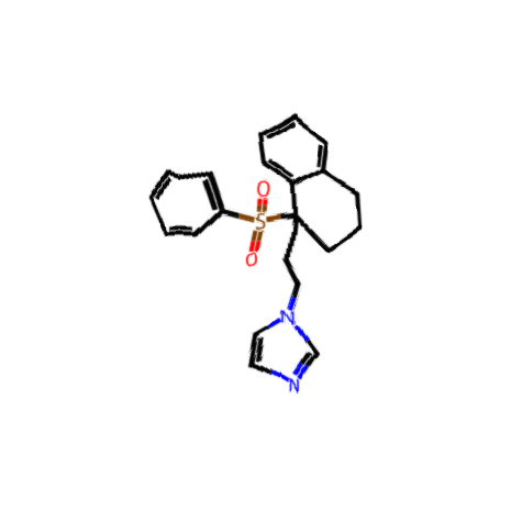 O=S(=O)(c1ccccc1)C1(CCn2ccnc2)CCCc2ccccc21